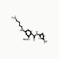 CC(=O)Nc1cc(NCCCCN)ccc1C(=O)Nc1ccc(N=O)s1